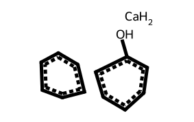 Oc1ccccc1.[CaH2].c1ccccc1